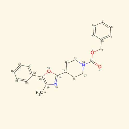 O=C(OCc1ccccc1)N1CCC(c2nc(C(F)(F)F)c(-c3ccccc3)o2)CC1